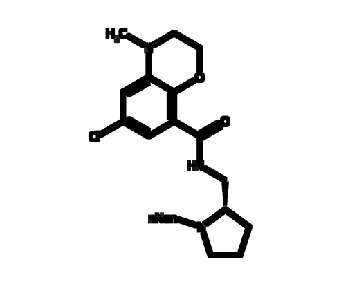 CCCCCCCCCN1CCC[C@H]1CNC(=O)c1cc(Cl)cc2c1OCCN2C